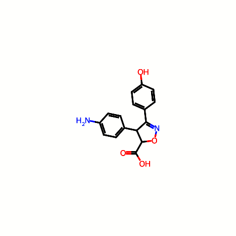 Nc1ccc(C2C(c3ccc(O)cc3)=NOC2C(=O)O)cc1